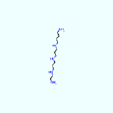 NCCCCNCCCNCCCNCCN